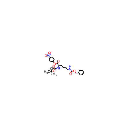 CC(C)(C)OC(=O)NC(CCCCNC(=O)OCc1ccccc1)C(=O)Oc1ccc([N+](=O)[O-])cc1